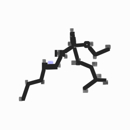 CCC/N=C/NP(=S)(OCC)SCC(C)C